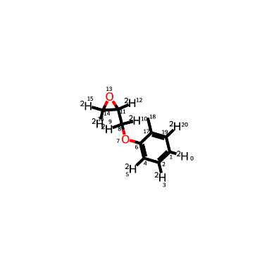 [2H]c1c([2H])c([2H])c(OC([2H])([2H])C2([2H])OC2([2H])[2H])c(C)c1[2H]